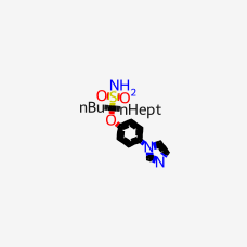 CCCCCCCC(CCCC)(Oc1ccc(-n2ccnc2)cc1)S(N)(=O)=O